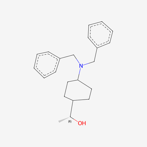 C[C@@H](O)C1CCC(N(Cc2ccccc2)Cc2ccccc2)CC1